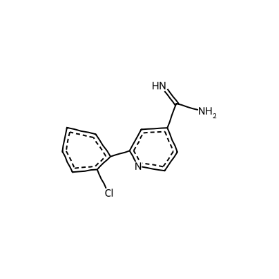 N=C(N)c1ccnc(-c2ccccc2Cl)c1